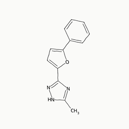 Cc1nc(-c2ccc(-c3ccccc3)o2)n[nH]1